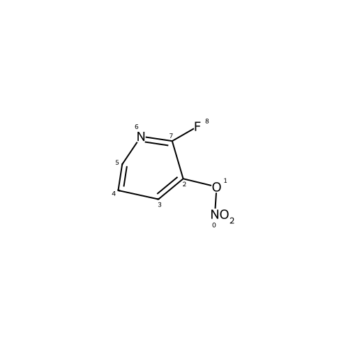 O=[N+]([O-])Oc1cccnc1F